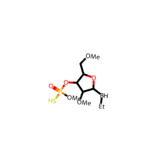 CCBC1OC(COC)C(OP(=O)(S)OC)C1OC